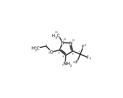 CCOc1c(N)c(C(F)(F)F)nn1C